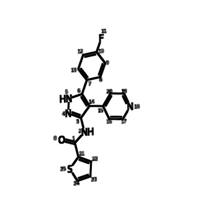 O=C(Nc1n[nH]c(-c2ccc(F)cc2)c1-c1ccncc1)c1cccs1